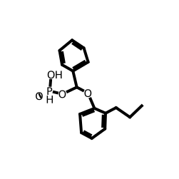 CCCc1ccccc1OC(O[PH](=O)O)c1ccccc1